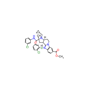 COC(=O)c1ccc2nc3n(c2c1)CC[C@H]1[C@@H]3[C@H](c2cccc(Cl)c2F)[C@](C)(C(=O)Nc2cccc(Cl)c2)N1CC1CC1